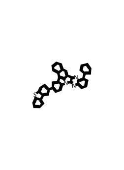 c1ccc(-c2cccc3nc4c(nc23)c2cc3ccccc3c3c5cc(-c6ccc7sc8ccccc8c7c6)ccc5n4c23)cc1